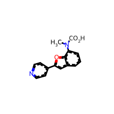 CN(C(=O)O)c1cccc2cc(-c3ccncc3)oc12